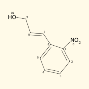 O=[N+]([O-])c1ccccc1C=CCO